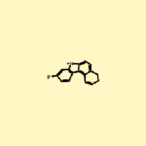 Brc1ccc2c(c1)[nH]c1ccc3c(c12)C=CCC3